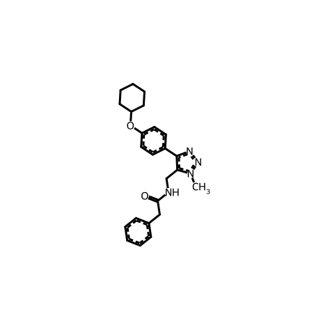 Cn1nnc(-c2ccc(OC3CCCCC3)cc2)c1CNC(=O)Cc1ccccc1